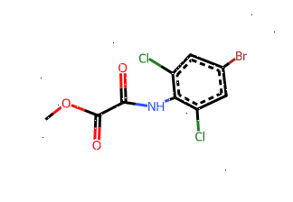 COC(=O)C(=O)Nc1c(Cl)cc(Br)cc1Cl